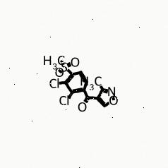 Cc1nocc1C(=O)c1ccc(S(C)(=O)=O)c(Cl)c1Cl